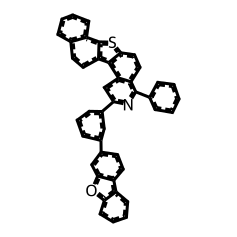 c1ccc(-c2nc(-c3cccc(-c4ccc5c(c4)oc4ccccc45)c3)cc3c2ccc2sc4c5ccccc5ccc4c23)cc1